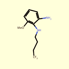 COc1cccc(N)c1NCCCC(F)(F)F